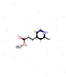 Cc1cc(CCC(=O)OC(C)(C)C)ccn1